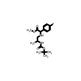 COC(=O)C(NCC(C)NC(=O)OC(C)(C)C)c1ccc(F)cc1